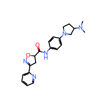 CN(C)C1CCN(c2ccc(NC(=O)C3CC(c4ccccn4)=NO3)cc2)C1